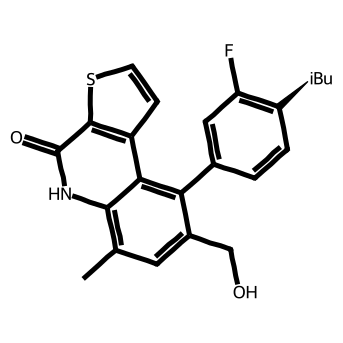 CC[C@H](C)c1ccc(-c2c(CO)cc(C)c3[nH]c(=O)c4sccc4c23)cc1F